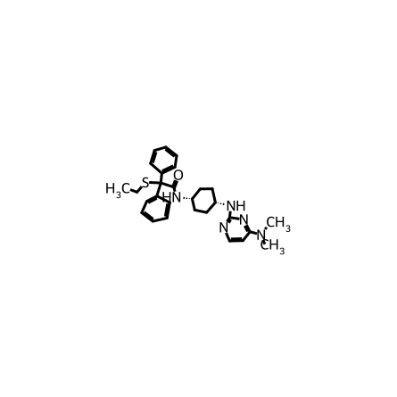 CCSC(C(=O)N[C@H]1CC[C@@H](Nc2nccc(N(C)C)n2)CC1)(c1ccccc1)c1ccccc1